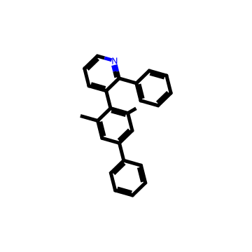 Cc1cc(-c2ccccc2)cc(C)c1-c1cccnc1-c1ccccc1